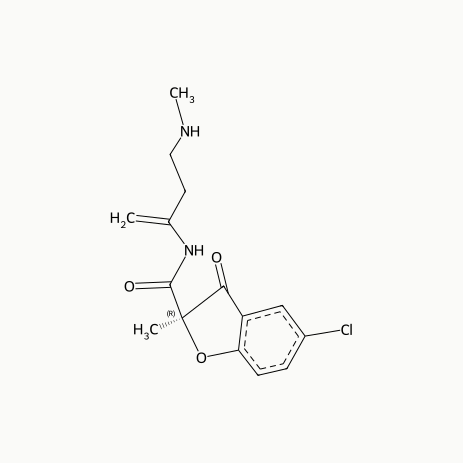 C=C(CCNC)NC(=O)[C@]1(C)Oc2ccc(Cl)cc2C1=O